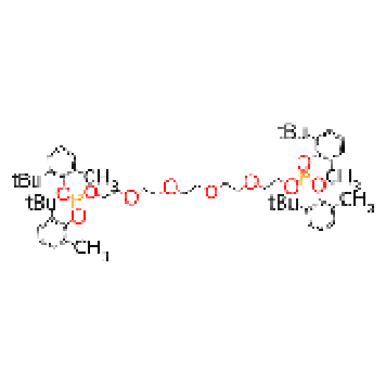 Cc1cccc(C(C)(C)C)c1OP(OCCOCCOCCOCCOCCOP(Oc1c(C)cccc1C(C)(C)C)Oc1c(C)cccc1C(C)(C)C)Oc1c(C)cccc1C(C)(C)C